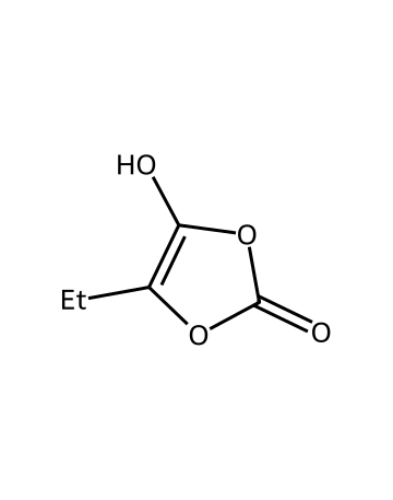 CCc1oc(=O)oc1O